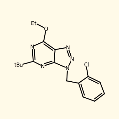 CCOc1nc(C(C)(C)C)nc2c1nnn2Cc1ccccc1Cl